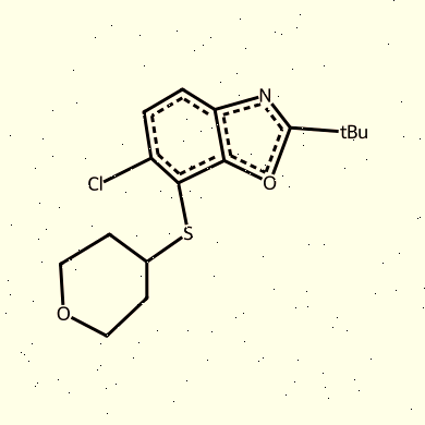 CC(C)(C)c1nc2ccc(Cl)c(SC3CCOCC3)c2o1